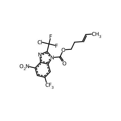 CC=CCCOC(=O)n1c(C(F)(F)Cl)nc2c([N+](=O)[O-])cc(C(F)(F)F)cc21